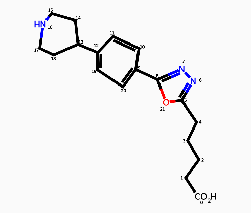 O=C(O)CCCCc1nnc(-c2ccc(C3CCNCC3)cc2)o1